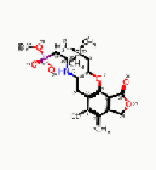 CCc1c(C)c2c(c(OCC[Si](C)(C)C)c1CCNCCP(=O)(O)OC(C)CC)C(=O)OC2